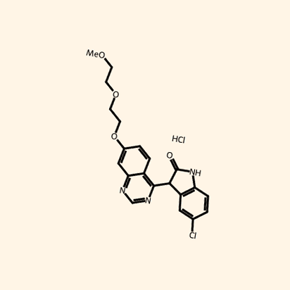 COCCOCCOc1ccc2c(C3C(=O)Nc4ccc(Cl)cc43)ncnc2c1.Cl